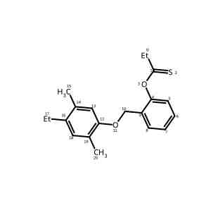 CCC(=S)Oc1ccccc1COc1cc(C)c(CC)cc1C